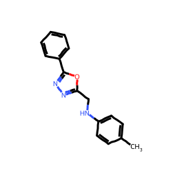 Cc1ccc(NCc2nnc(-c3ccccc3)o2)cc1